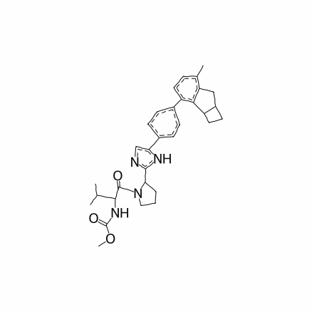 COC(=O)NC(C(=O)N1CCCC1c1ncc(-c2ccc(-c3ccc(C)c4c3C3CCC3C4)cc2)[nH]1)C(C)C